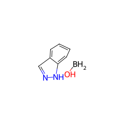 BO.c1ccc2[nH]ncc2c1